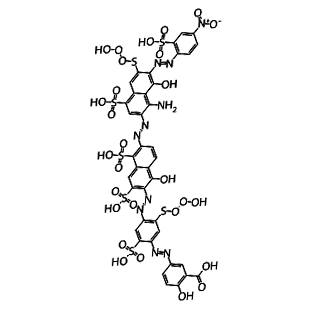 Nc1c(N=Nc2ccc3c(O)c(N=Nc4cc(S(=O)(=O)O)c(N=Nc5ccc(O)c(C(=O)O)c5)cc4SOOO)c(S(=O)(=O)O)cc3c2S(=O)(=O)O)cc(S(=O)(=O)O)c2cc(SOOO)c(N=Nc3ccc([N+](=O)[O-])cc3S(=O)(=O)O)c(O)c12